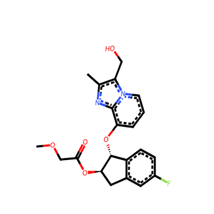 COCC(=O)O[C@@H]1Cc2cc(F)ccc2[C@H]1Oc1cccn2c(CO)c(C)nc12